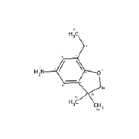 CCc1cc(N)cc2c1OCC2(C)C